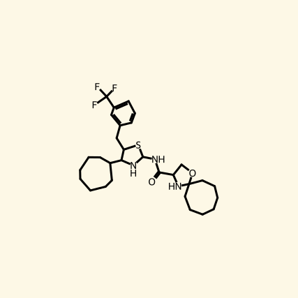 O=C(NC1NC(C2CCCCCCC2)C(Cc2cccc(C(F)(F)F)c2)S1)C1COC2(CCCCCCC2)N1